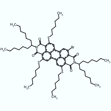 CCCCCCSc1cc2c3cc(SCCCCCC)c4c5c(c(SCCCCCC)cc(c6cc(Br)c7c(c1C(=O)N(C(CCCCCC)CCCCCC)C7=O)c62)c53)C(=O)N(C(CCCCCC)CCCCCC)C4=O